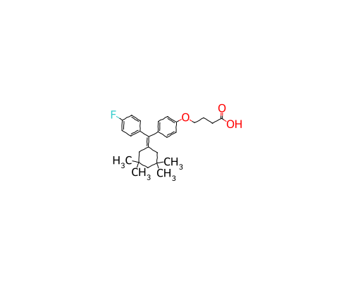 CC1(C)CC(=C(c2ccc(F)cc2)c2ccc(OCCCC(=O)O)cc2)CC(C)(C)C1